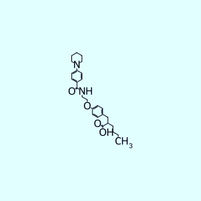 CCCCC(Cc1ccc(OCCNC(=O)c2ccc(N3CCCCC3)cc2)cc1)C(=O)O